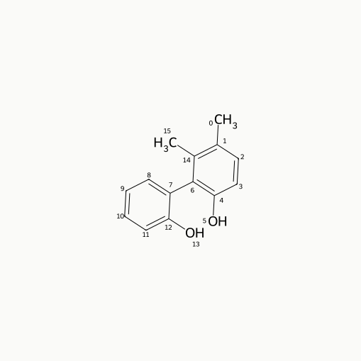 Cc1ccc(O)c(-c2ccccc2O)c1C